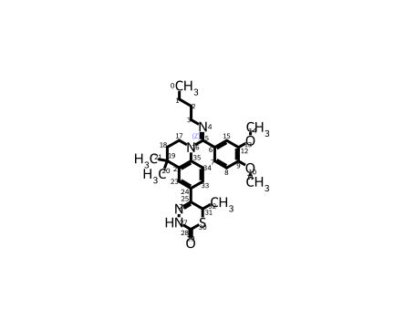 CCCC/N=C(/c1ccc(OC)c(OC)c1)N1CCC(C)(C)c2cc(C3=NNC(=O)SC3C)ccc21